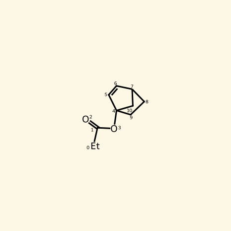 CCC(=O)OC12C=CC(CC1)C2